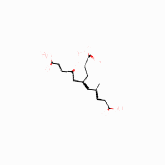 CC(=C\CC(=O)O)/C=C(\CCC(=O)O)CC(=O)CCC(=O)O